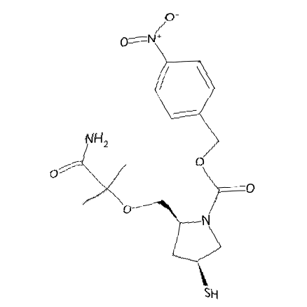 CC(C)(OC[C@@H]1C[C@H](S)CN1C(=O)OCc1ccc([N+](=O)[O-])cc1)C(N)=O